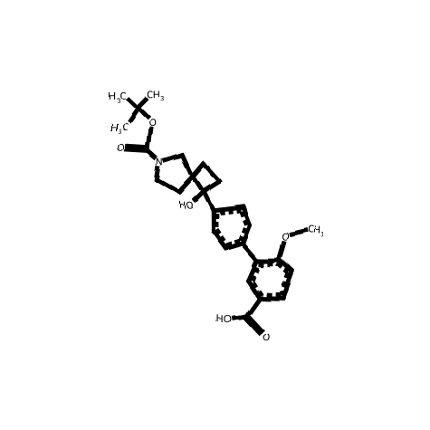 COc1ccc(C(=O)O)cc1-c1ccc(C2(O)CCC23CCN(C(=O)OC(C)(C)C)C3)cc1